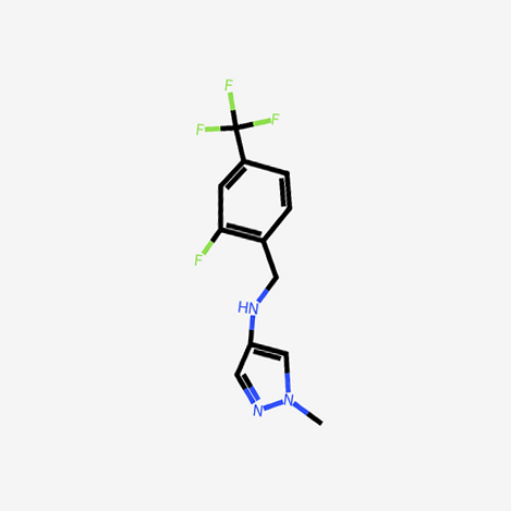 Cn1cc(NCc2ccc(C(F)(F)F)cc2F)cn1